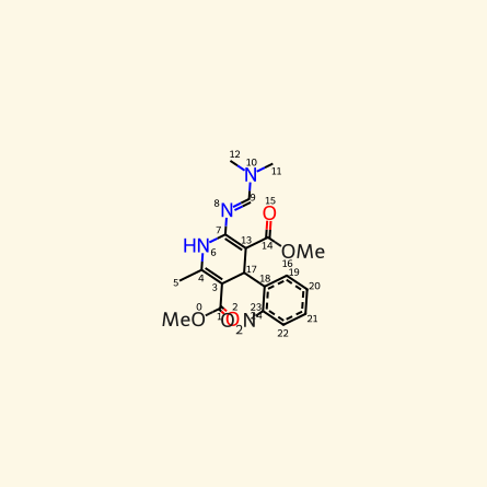 COC(=O)C1=C(C)NC(N=CN(C)C)=C(C(=O)OC)C1c1ccccc1[N+](=O)[O-]